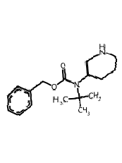 CC(C)(C)N(C(=O)OCc1ccccc1)C1CCCNC1